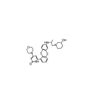 CC(CN1CCCC(O)C1)Nc1ccc2c(c1)Sc1cccc(-c3cc(N4CCOCC4)cc(=O)[nH]3)c1S2